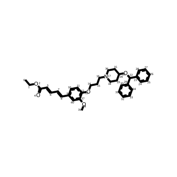 CCOC(=O)C=CC=Cc1ccc(OCCCN2CCC(OC(c3ccccc3)c3ccccc3)CC2)c(OC)c1